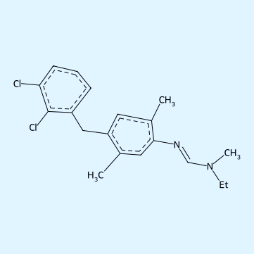 CCN(C)C=Nc1cc(C)c(Cc2cccc(Cl)c2Cl)cc1C